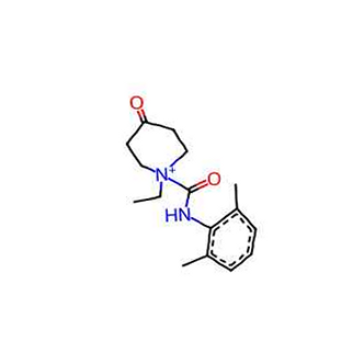 CC[N+]1(C(=O)Nc2c(C)cccc2C)CCC(=O)CC1